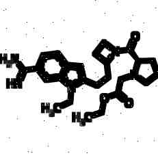 CCOC(=O)CN1CCC[C@@H]1C(=O)N1CCC1CCc1cc2ccc(C(=N)N)cc2n1CC